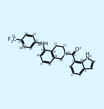 O=C(c1cccc2cc[nH]c12)N1CCc2c(cccc2Nc2ccc(C(F)(F)F)nc2)C1